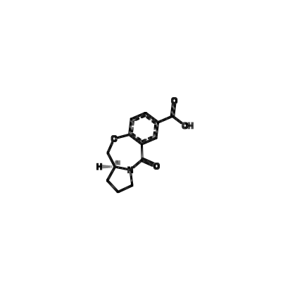 O=C(O)c1ccc2c(c1)C(=O)N1CCC[C@H]1CO2